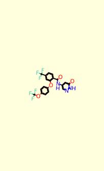 O=C(Nc1cn[nH]c(=O)c1)c1ccc(C(F)(F)F)cc1Oc1ccc(OC(F)(F)F)cc1